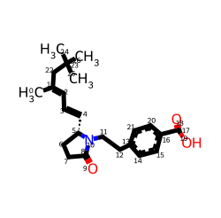 C/C(=C\C=C\[C@H]1CCC(=O)N1CCc1ccc(C(=O)O)cc1)CC(C)(C)C